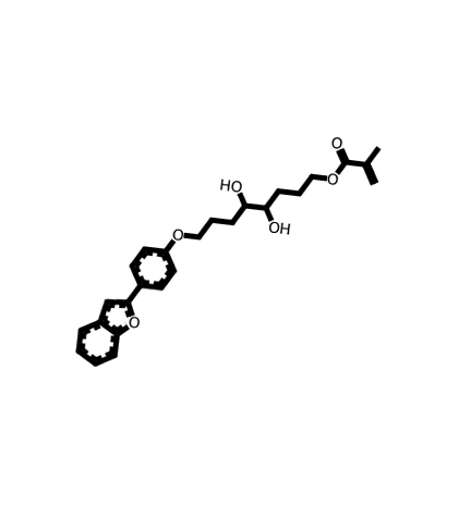 C=C(C)C(=O)OCCCC(O)C(O)CCCOc1ccc(-c2cc3ccccc3o2)cc1